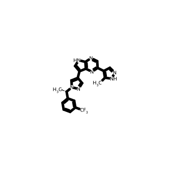 Cc1[nH]ncc1-c1cnc2[nH]cc(-c3cnn([C@@H](C)c4cccc(C(F)(F)F)c4)c3)c2n1